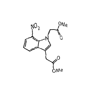 COC(=O)Cc1cn(CC(=O)OC)c2c([N+](=O)[O-])cccc12